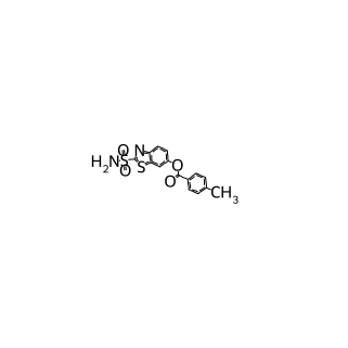 Cc1ccc(C(=O)Oc2ccc3nc(S(N)(=O)=O)sc3c2)cc1